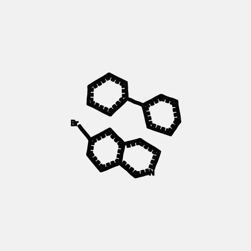 Brc1ccc2cnccc2c1.c1ccc(-c2ccccc2)cc1